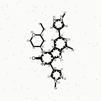 CC[C@H]1C[C@@H](n2c(=O)nc(-c3cnn(C)c3)c3oc4c(C)nc(-c5cnn(C)c5)cc4c32)CCO1